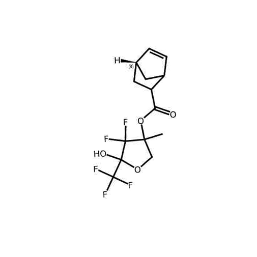 CC1(OC(=O)C2C[C@@H]3C=CC2C3)COC(O)(C(F)(F)F)C1(F)F